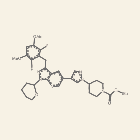 COc1cc(OC)c(F)c(Cc2nn(C3CCCCO3)c3ncc(-c4cnn(C5CCN(C(=O)OC(C)(C)C)CC5)c4)cc23)c1F